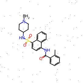 BN1CCC(NS(=O)(=O)c2ccc(NC(=O)c3ccccc3C)c3ccccc23)CC1